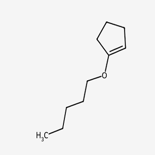 CCCCCOC1=CCCC1